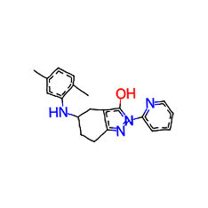 Cc1ccc(C)c(NC2CCc3nn(-c4ccccn4)c(O)c3C2)c1